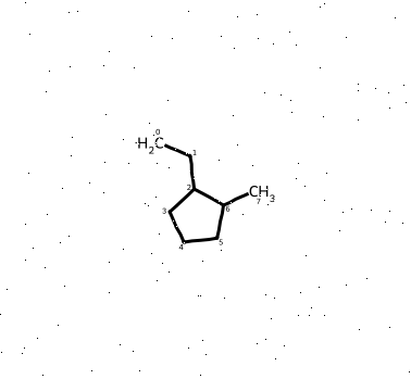 [CH2]CC1CCCC1C